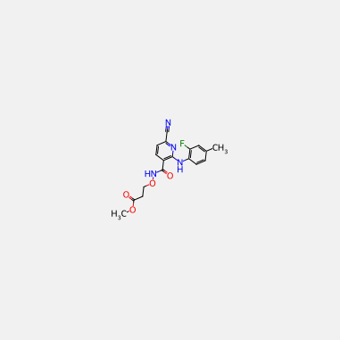 COC(=O)CCONC(=O)c1ccc(C#N)nc1Nc1ccc(C)cc1F